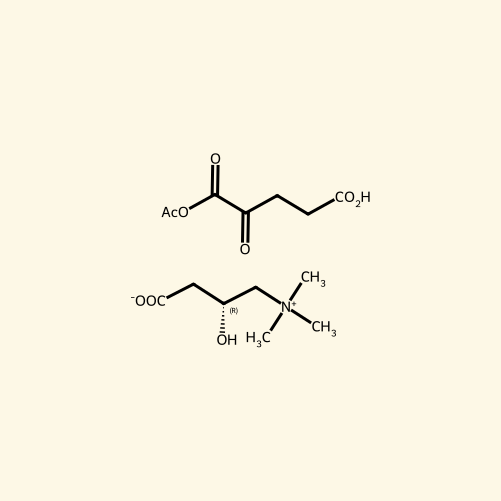 CC(=O)OC(=O)C(=O)CCC(=O)O.C[N+](C)(C)C[C@H](O)CC(=O)[O-]